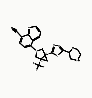 N#Cc1ccc(N2C[C@]3(c4nnc(C5CNCCO5)o4)C[C@]3(C(F)(F)F)C2)c2cccnc12